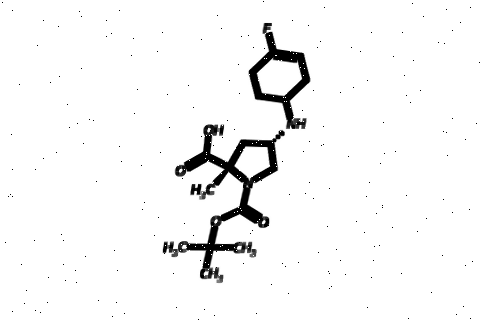 CC(C)(C)OC(=O)N1C[C@@H](NC2CC=C(F)CC2)C[C@@]1(C)C(=O)O